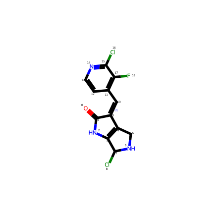 O=C1NC2=C(CNC2Cl)/C1=C/c1ccnc(Cl)c1F